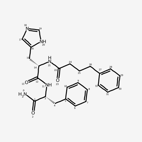 NC(=O)[C@@H](Cc1ccccc1)NC(=O)[C@H](Cc1cnc[nH]1)NC(=O)CCCc1ccccc1